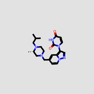 CC(C)CN1CCN(Cc2ccn3ncc(-n4ccc(=O)[nH]c4=O)c3c2)C[C@@H]1C